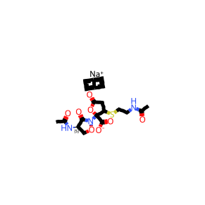 CC(=O)NCCSC1CC(=O)OC1(C(=O)[O-])N1OC[C@H](NC(C)=O)C1=O.[Na+].c1cc2ccc1-2